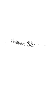 COc1ccc2oc(C(=O)Nc3ccc(-c4ccc(S(=O)(=O)N[C@H](C(=O)O)C(C)C)cc4)cc3)cc2c1